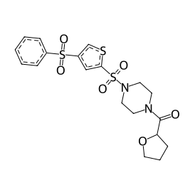 O=C(C1CCCO1)N1CCN(S(=O)(=O)c2cc(S(=O)(=O)c3ccccc3)cs2)CC1